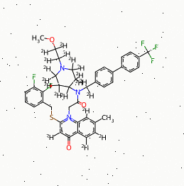 [2H]c1c(C)c([2H])c2c(c1[2H])c(=O)c([2H])c(SCc1cccc(F)c1F)n2CC(=O)N(C([2H])([2H])c1ccc(-c2ccc(C(F)(F)F)cc2)cc1)C1([2H])C([2H])([2H])C([2H])([2H])N(C([2H])([2H])C([2H])([2H])OC)C([2H])([2H])C1([2H])[2H]